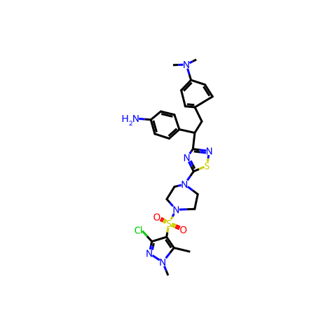 Cc1c(S(=O)(=O)N2CCN(c3nc(C(Cc4ccc(N(C)C)cc4)c4ccc(N)cc4)ns3)CC2)c(Cl)nn1C